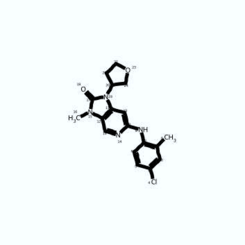 Cc1cc(Cl)ccc1Nc1cc2c(cn1)n(C)c(=O)n2C1CCOC1